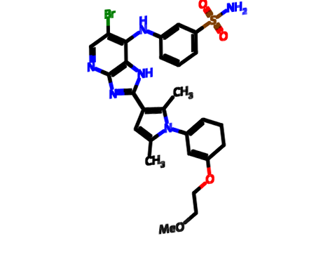 COCCOC1=CC(n2c(C)cc(-c3nc4ncc(Br)c(Nc5cccc(S(N)(=O)=O)c5)c4[nH]3)c2C)=CCC1